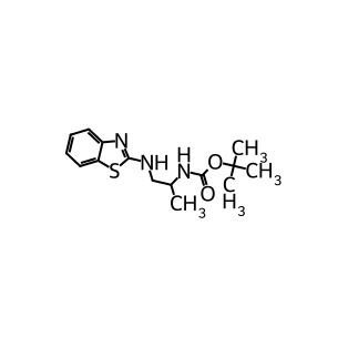 CC(CNc1nc2ccccc2s1)NC(=O)OC(C)(C)C